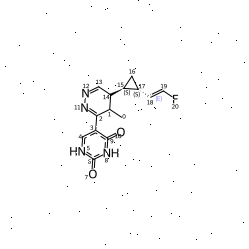 CC1C(c2c[nH]c(=O)[nH]c2=O)=NN=CC1[C@H]1C[C@@H]1/C=C/F